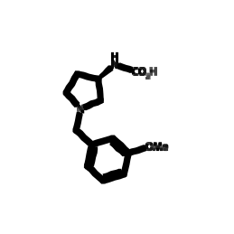 COc1cccc(CN2CC[C@@H](NC(=O)O)C2)c1